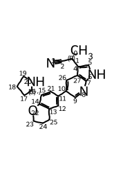 C[C@@H](C#N)c1c[nH]c2ncc(-c3cc4c(c([C@@H]5CCCN5)c3)OCCC4)cc12